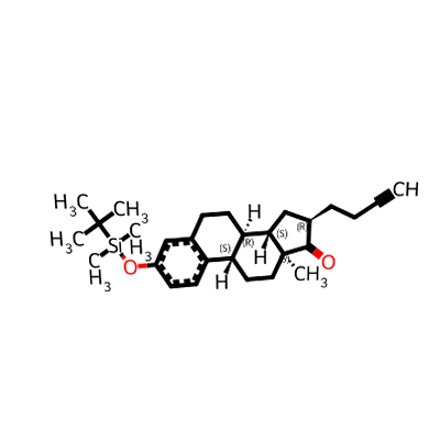 C#CCC[C@@H]1C[C@H]2[C@@H]3CCc4cc(O[Si](C)(C)C(C)(C)C)ccc4[C@H]3CC[C@]2(C)C1=O